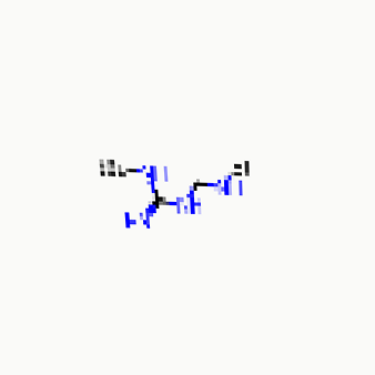 CCNCNC(=N)NC(C)(C)C